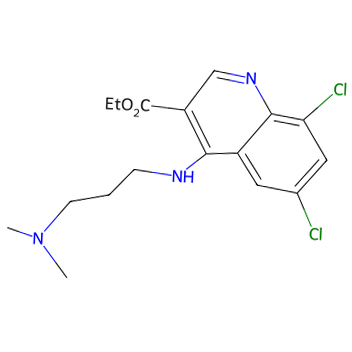 CCOC(=O)c1cnc2c(Cl)cc(Cl)cc2c1NCCCN(C)C